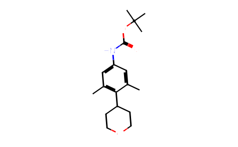 Cc1cc(NC(=O)OC(C)(C)C)cc(C)c1C1CCOCC1